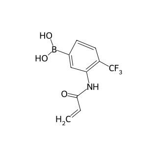 C=CC(=O)Nc1cc(B(O)O)ccc1C(F)(F)F